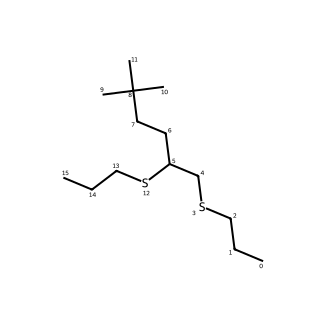 CCCSCC(CCC(C)(C)C)SCCC